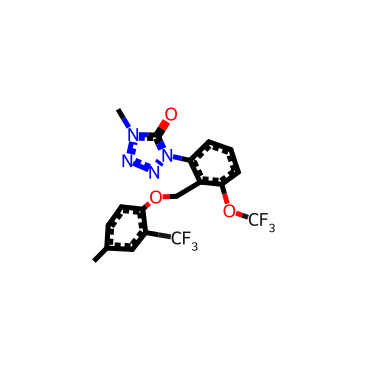 Cc1ccc(OCc2c(OC(F)(F)F)cccc2-n2nnn(C)c2=O)c(C(F)(F)F)c1